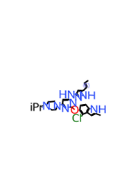 C/C=C/c1cc(Nc2cc(N3CCN(C(C)C)CC3)nc(Oc3ccc4[nH]c(C)cc4c3Cl)n2)n[nH]1